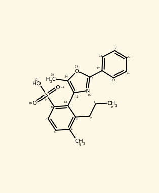 CCCc1c(C)ccc(S(=O)(=O)O)c1-c1nc(-c2ccccc2)oc1C